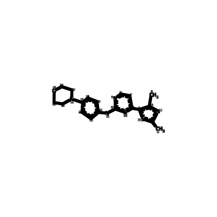 Cc1nc(C)c(-c2ccnc([N]c3ccc(N4CCOCC4)cc3)n2)s1